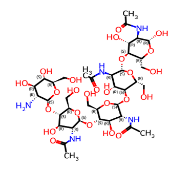 CC(=O)N[C@@H]1[C@@H](O)[C@H](O[C@@H]2O[C@H](CO)[C@@H](O[C@@H]3O[C@H](CO)[C@@H](O[C@@H]4O[C@H](CO)[C@@H](O[C@@H]5O[C@H](CO)[C@@H](O)[C@H](O)[C@H]5N)[C@H](O)[C@H]4NC(C)=O)[C@H](O)[C@H]3NC(C)=O)[C@H](O)[C@H]2NC(C)=O)[C@@H](CO)O[C@H]1O